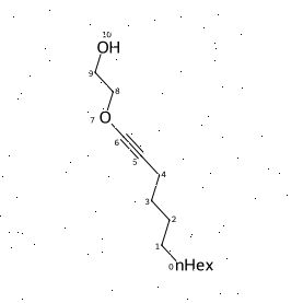 CCCCCCCCCCC#COCCO